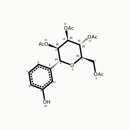 CC(=O)OC[C@H]1O[C@H](c2cccc(O)c2)[C@@H](OC(C)=O)[C@@H](OC(C)=O)[C@@H]1OC(C)=O